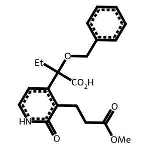 CCC(OCc1ccccc1)(C(=O)O)c1cc[nH]c(=O)c1CCC(=O)OC